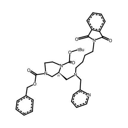 CC(C)(C)OC(=O)N1CCN(C(=O)OCc2ccccc2)C[C@@H]1CN(CCCCN1C(=O)c2ccccc2C1=O)Cc1ccccn1